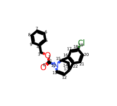 O=C(OCc1ccccc1)N1C=CC2CC1c1cc(Cl)ccc12